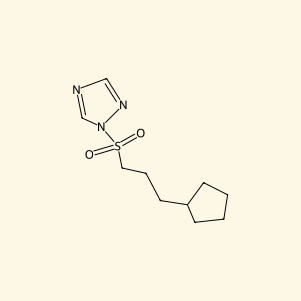 O=S(=O)(CCCC1CCCC1)n1cncn1